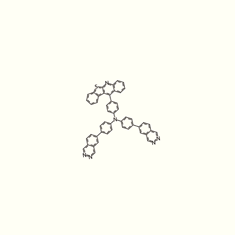 c1ccc2c(-c3ccc(N(c4ccc(-c5ccc6cnncc6c5)cc4)c4ccc(-c5ccc6cnncc6c5)cc4)cc3)c3c(nc2c1)sc1ccccc13